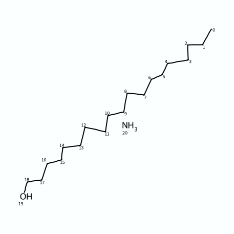 CCCCCCCCCCCCCCCCCCCO.N